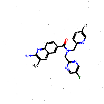 CCc1ccc(CN(Cc2ncc(F)cn2)C(=O)c2ccc3nc(N)c(C)cc3c2)nc1